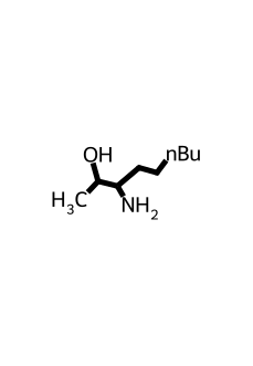 CCCCCCC(N)C(C)O